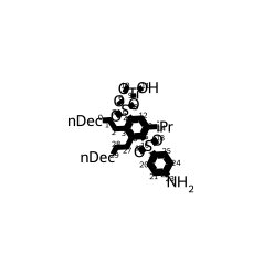 CCCCCCCCCCCCc1c(S(=O)(=O)[O][Ti](=[O])[OH])cc(C(C)C)c(S(=O)(=O)c2ccc(N)cc2)c1CCCCCCCCCCCC